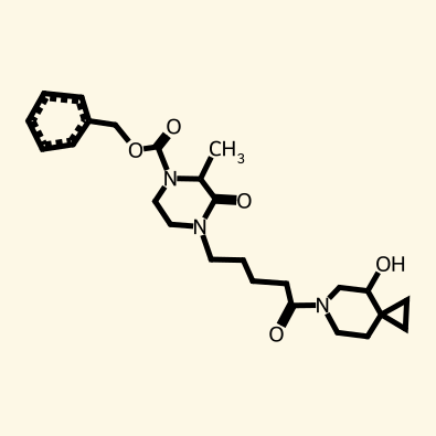 CC1C(=O)N(CCCCC(=O)N2CCC3(CC3)C(O)C2)CCN1C(=O)OCc1ccccc1